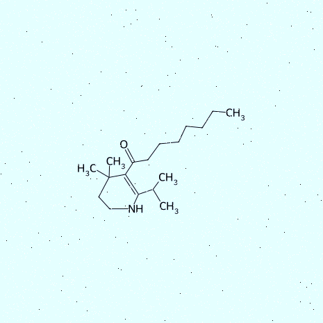 CCCCCCCC(=O)C1=C(C(C)C)NCCC1(C)C